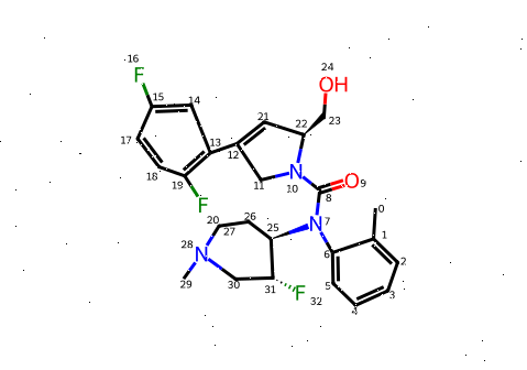 Cc1ccccc1N(C(=O)N1CC(c2cc(F)ccc2F)=C[C@H]1CO)[C@@H]1CCN(C)C[C@H]1F